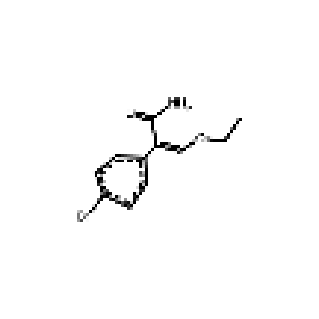 CCO/C=C(\C(N)=O)c1ccc(Br)cc1